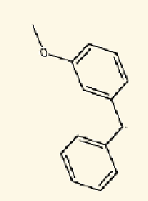 COc1cccc([CH]c2ccccc2)c1